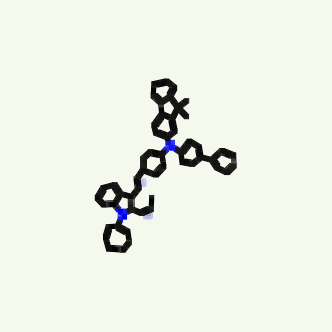 C/C=C\c1c(/C=C/c2ccc(N(c3ccc(-c4ccccc4)cc3)c3ccc4c(c3)C(C)(C)c3ccccc3-4)cc2)c2ccccc2n1C1=CCC=CC=C1